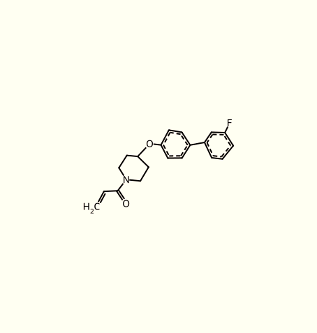 C=CC(=O)N1CCC(Oc2ccc(-c3cccc(F)c3)cc2)CC1